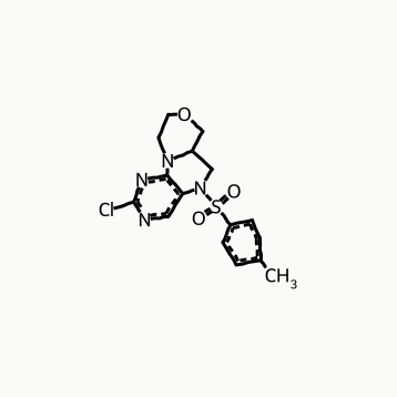 Cc1ccc(S(=O)(=O)N2CC3COCCN3c3nc(Cl)ncc32)cc1